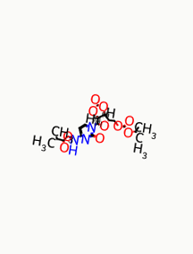 CC(C)OC(=O)OCC1O[C@@H](n2ccc(NOC(=O)C(C)C)nc2=O)[C@@H]2OC(=O)O[C@H]12